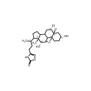 CC[C@H]1CC2C3CCC([C@H](C)CCc4noc(=O)[nH]4)[C@@]3(C)[C@@H](O)CC2[C@@]2(C)CC[C@@H](O)C[C@@H]12